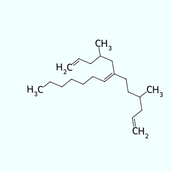 C=CCC(C)CCC(=CCCCCCC)CC(C)CC=C